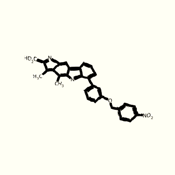 CC1=c2c(cc3c(c2C)N=c2c(-c4cccc(OCc5ccc([N+](=O)[O-])cc5)c4)cccc2=3)N=C1C(=O)O